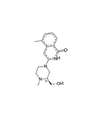 Cc1cccc2c(=O)[nH]c(N3CCN(C)[C@H](CO)C3)cc12